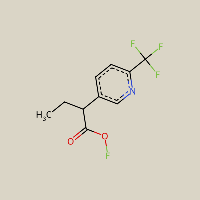 CCC(C(=O)OF)c1ccc(C(F)(F)F)nc1